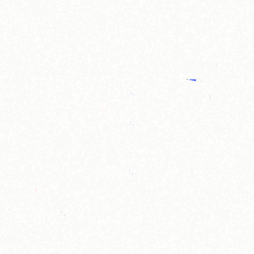 CN(C)[C@]1(c2ccccc2)CC[C@]2(CC1)CN(c1ccc(-c3cccc4c3CC(O)N4)nc1)C(=O)N2